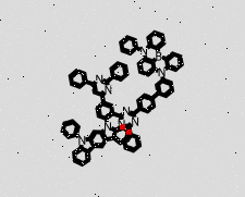 c1ccc(-c2cc(-c3ccc(-n4c5ccccc5c5cc6c7ccccc7n(-c7ccccc7)c6cc54)c(-c4nc(-c5ccccc5)nc(-c5ccc(-c6cccc(N7c8ccccc8B8c9ccccc9N(c9ccccc9)c9cccc7c98)c6)cc5)n4)c3)nc(-c3ccccc3)n2)cc1